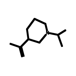 C=C(C)C1CCCN(C(C)C)C1